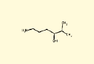 CC(C)C(O)CCCN